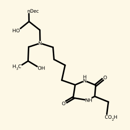 CCCCCCCCCCC(O)CN(CCCCC1NC(=O)C(CC(=O)O)NC1=O)CC(C)O